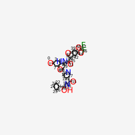 COc1ccc2c(c1)O[C@@H](c1ccc(C(=O)N(C)CC(O)c3ccccc3)cn1)C[C@H]2NC(=O)[C@@]1(C)COc2cc3c(cc21)OC(F)(F)O3